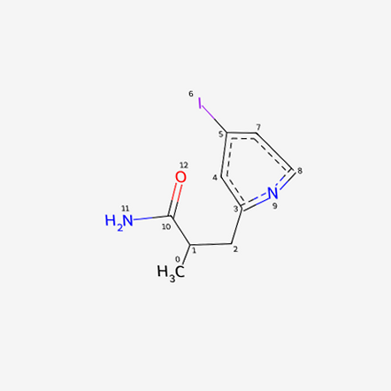 CC(Cc1cc(I)ccn1)C(N)=O